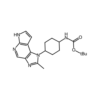 Cc1nc2cnc3[nH]ccc3c2n1C1CCC(NC(=O)OC(C)(C)C)CC1